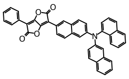 O=C1OC2=C(c3ccc4cc(N(c5ccc6ccccc6c5)c5cccc6ccccc56)ccc4c3)C(=O)OC2=C1c1ccccc1